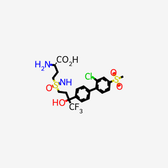 CS(=O)(=O)c1ccc(-c2ccc(C(O)(CCS(=N)(=O)CC[C@H](N)C(=O)O)C(F)(F)F)cc2)c(Cl)c1